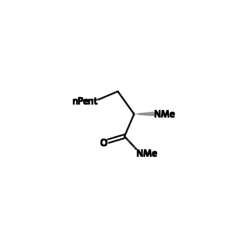 CCCCCC[C@H](NC)C(=O)NC